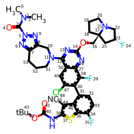 CN(C)C(=O)n1nc2c(n1)CN(c1nc(OC[C@@]34CCCN3C[C@H](F)C4)nc3c(F)c(-c4ccc(F)c5sc(NC(=O)OC(C)(C)C)c(C#N)c45)c(Cl)cc13)CCC2